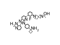 CC(O)N1CC2(CCN(c3cccc(-c4ccc5nc(-c6cccnc6N)n(-c6ccc(C7(N)CCC7)cc6)c5n4)c3F)C2)C1